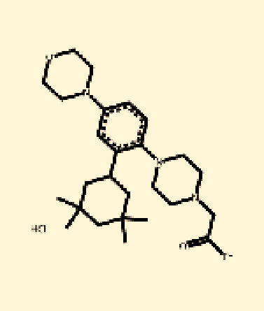 CCC(=O)CN1CCN(c2ccc(N3CCOCC3)cc2C2CC(C)(C)CC(C)(C)C2)CC1.Cl